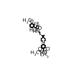 COc1cccc(C(O)(C(=O)NCC[C@H]2CC23CCN(c2ccc(C(=O)N(C)C(C)C)c(Cl)c2)CC3)C(F)(F)F)c1